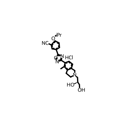 Cc1c(-c2noc(-c3ccc(OC(C)C)c(C#N)c3)n2)ccc2c1CCN(C[C@H](O)CO)C2.Cl